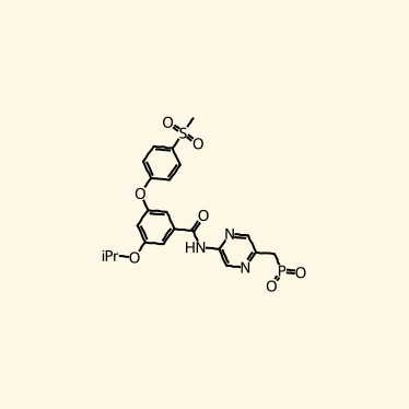 CC(C)Oc1cc(Oc2ccc(S(C)(=O)=O)cc2)cc(C(=O)Nc2cnc(CP(=O)=O)cn2)c1